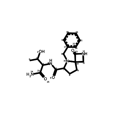 CC(O)C(NC(=O)C1CCC2(CNC2=O)N1Cc1ccccc1)C(N)=O